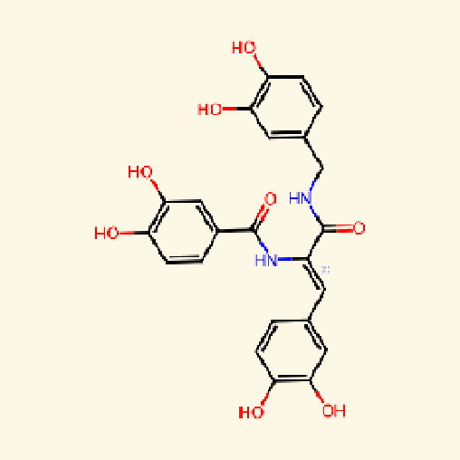 O=C(NCc1ccc(O)c(O)c1)/C(=C/c1ccc(O)c(O)c1)NC(=O)c1ccc(O)c(O)c1